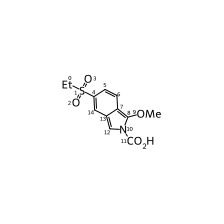 CCS(=O)(=O)c1ccc2c(OC)n(C(=O)O)cc2c1